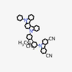 C[Si]1(C)c2ccc(-n3c4ccc(C#N)cc4c4cc(C#N)ccc43)cc2-c2cc(-n3c4ccccc4c4c5c6ccccc6n(-c6ccccc6)c5ccc43)ccc21